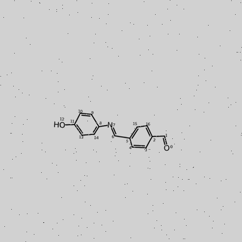 O=Cc1ccc(C=Nc2ccc(O)cc2)cc1